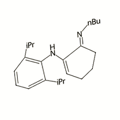 CCCCN=C1CCCC=C1Nc1c(C(C)C)cccc1C(C)C